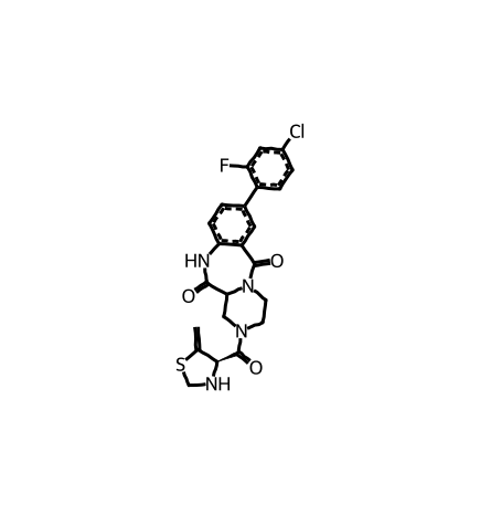 C=C1SCN[C@@H]1C(=O)N1CCN2C(=O)c3cc(-c4ccc(Cl)cc4F)ccc3NC(=O)C2C1